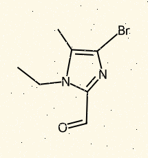 CCn1c(C=O)nc(Br)c1C